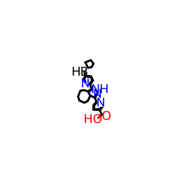 O=C(O)c1ccc(C2=NNC(c3ccc(BC4CCCC4)cn3)=C3CCCCCCC23)nc1